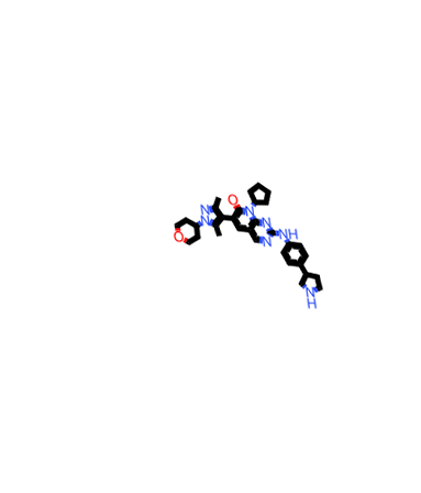 Cc1nn(C2CCOCC2)c(C)c1-c1cc2cnc(Nc3ccc(C4CCNC4)cc3)nc2n(C2CCCC2)c1=O